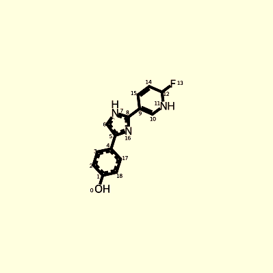 Oc1ccc(-c2c[nH]c(C3=CNC(F)C=C3)n2)cc1